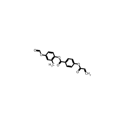 C=CC(=O)Oc1ccc(C(=O)Oc2ccc(OC=O)cc2C)cc1